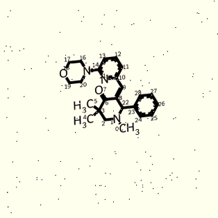 CN1CC(C)(C)C(=O)/C(=C\c2cccc(N3CCOCC3)n2)C1c1ccccc1